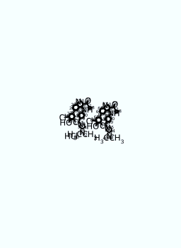 CN(C)C1CCN(Cc2ccc(Nc3c(C(=O)C4CC4)cnc4ccc(-c5cc(Cl)c(O)c(Cl)c5)cc34)cc2)C1.CN(C)C1CCN(Cc2ccc(Nc3c(C(=O)C4CC4)cnc4ccc(-c5cc(Cl)c(O)c(Cl)c5)cc34)cc2)C1.Cl